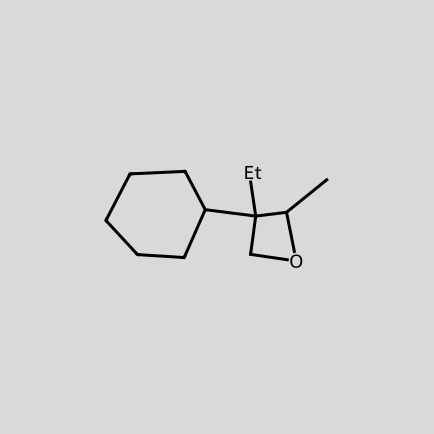 CCC1(C2CCCCC2)COC1C